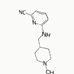 CN1CCC(CNc2cccc(C#N)n2)CC1